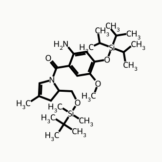 COc1cc(C(=O)N2C=C(C)CC2CO[Si](C)(C)C(C)(C)C)c(N)cc1O[Si](C(C)C)(C(C)C)C(C)C